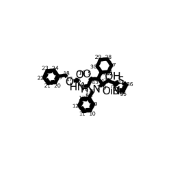 CC(C)CO[C@](N)(C(C(=O)[C@@H](Cc1ccccc1)NC(=O)OCc1ccccc1)C1CCCCC1)[C@H](O)c1nccs1